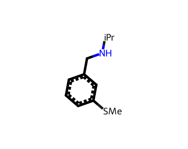 CSc1cccc(CNC(C)C)c1